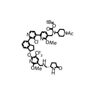 COc1nc(-c2ccnc(-c3cccc4c3CC[C@@H]4Oc3nc(OC)c(CNC[C@@H]4CCC(=O)N4)cc3C(F)(F)F)c2Cl)ccc1CN(C(=O)OC(C)(C)C)C1CCN(C(C)=O)CC1